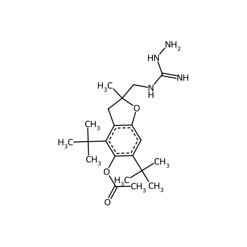 CC(=O)Oc1c(C(C)(C)C)cc2c(c1C(C)(C)C)CC(C)(CNC(=N)NN)O2